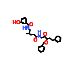 CC(CCC(=O)NCC(=O)C(CCc1ccccc1)OCc1ccccc1)CNC(=O)c1cccc(O)c1